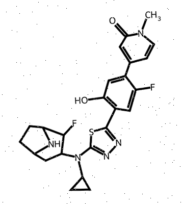 Cn1ccc(-c2cc(O)c(-c3nnc(N(C4CC4)C4CC5CCC(N5)C4F)s3)cc2F)cc1=O